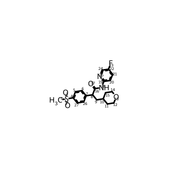 CS(=O)(=O)c1ccc(C(CC2CCOCC2)C(=O)Nc2ccc(F)cn2)cc1